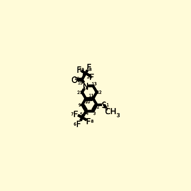 CSc1cc(C(F)(F)F)cc2c1CCN(C(=O)C(F)(F)F)C2